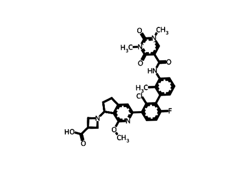 COc1nc(-c2ccc(F)c(-c3cccc(NC(=O)c4cn(C)c(=O)n(C)c4=O)c3C)c2Cl)cc2c1C(N1CC(C(=O)O)C1)CC2